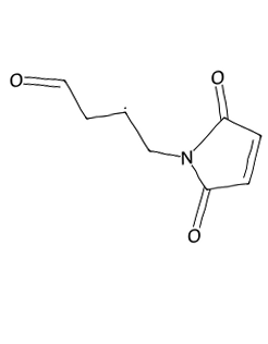 O=CC[CH]CN1C(=O)C=CC1=O